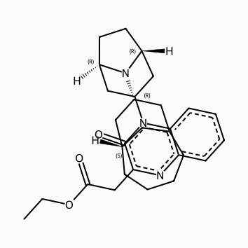 CCOC(=O)Cc1nc2ccccc2n(C2C[C@H]3CC[C@H](C2)N3[C@@H]2CC3CCCC[C@@H](C3)C2)c1=O